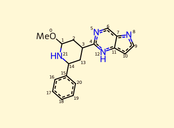 COC1CC(c2ncc3nccc-3[nH]2)CC(c2ccccc2)N1